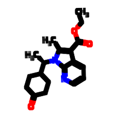 CCOC(=O)c1c(C)n([C@H](C)C2CCC(=O)CC2)c2ncccc12